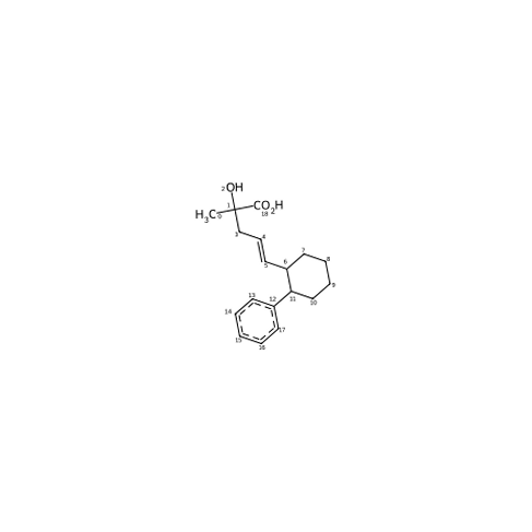 CC(O)(CC=CC1CCCCC1c1ccccc1)C(=O)O